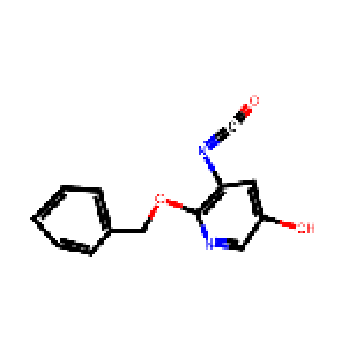 O=C=Nc1cc(O)cnc1OCc1ccccc1